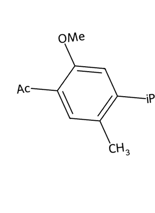 COc1cc(C(C)C)c(C)cc1C(C)=O